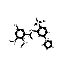 COc1cc(Cl)cc(C(C)Nc2cc(-n3cccc3)ccc2S(C)(=O)=O)c1OC